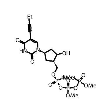 CCC#Cc1cn([C@H]2CC(O)[C@@H](COP(=O)(OC)OP(=O)(OC)OP(=O)(OC)OC)C2)c(=O)[nH]c1=O